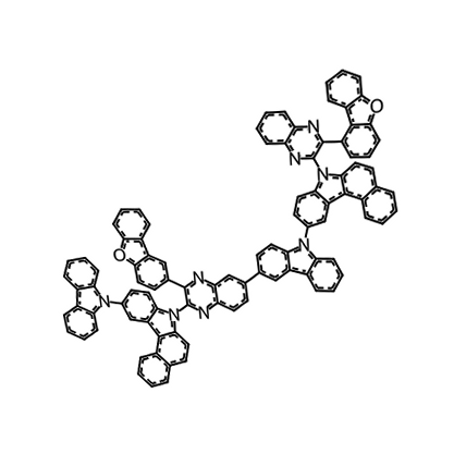 c1ccc2c(c1)ccc1c2c2cc(-n3c4ccccc4c4ccccc43)ccc2n1-c1nc2ccc(-c3ccc4c(c3)c3ccccc3n4-c3ccc4c(c3)c3c5ccccc5ccc3n4-c3nc4ccccc4nc3-c3cccc4oc5ccccc5c34)cc2nc1-c1ccc2oc3ccccc3c2c1